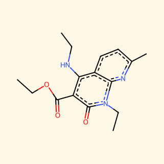 CCNc1c(C(=O)OCC)c(=O)n(CC)c2nc(C)ccc12